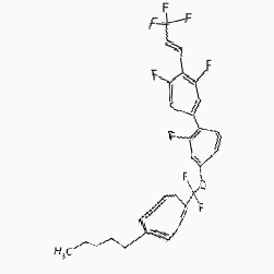 CCCCCc1ccc(C(F)(F)Oc2ccc(-c3cc(F)c(/C=C/C(F)(F)F)c(F)c3)c(F)c2)cc1